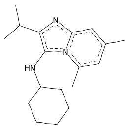 Cc1cc(C)n2c(NC3CCCCC3)c(C(C)C)nc2c1